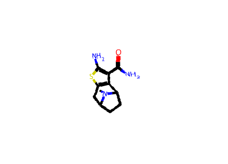 CN1C2CCC1c1c(sc(N)c1C(N)=O)C2